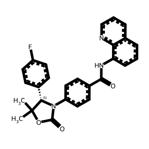 CC1(C)OC(=O)N(c2ccc(C(=O)Nc3cccc4cccnc34)cc2)[C@H]1c1ccc(F)cc1